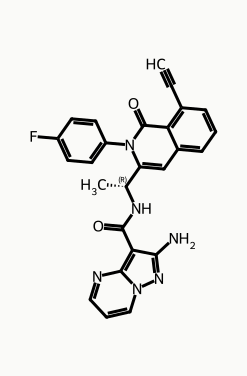 C#Cc1cccc2cc([C@@H](C)NC(=O)c3c(N)nn4cccnc34)n(-c3ccc(F)cc3)c(=O)c12